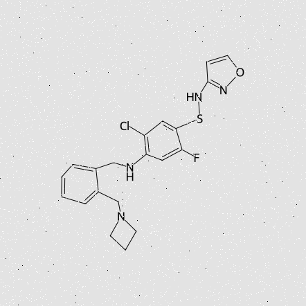 Fc1cc(NCc2ccccc2CN2CCC2)c(Cl)cc1SNc1ccon1